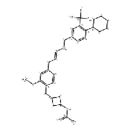 CCc1cc(C/C=N/OCc2ccc(C3CCCCC3)c(C(F)(F)F)c2)ccc1CN1CC(OC(=O)O)C1